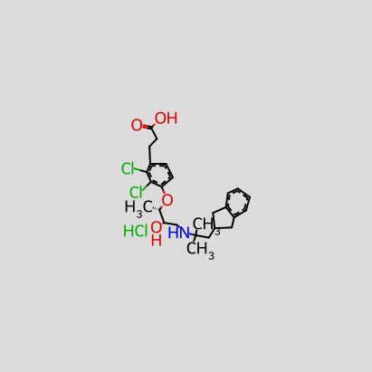 C[C@H](Oc1ccc(CCC(=O)O)c(Cl)c1Cl)[C@@H](O)CNC(C)(C)CC1Cc2ccccc2C1.Cl